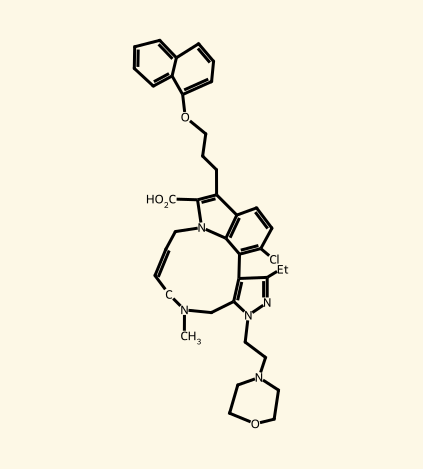 CCc1nn(CCN2CCOCC2)c2c1-c1c(Cl)ccc3c(CCCOc4cccc5ccccc45)c(C(=O)O)n(c13)C/C=C\CN(C)C2